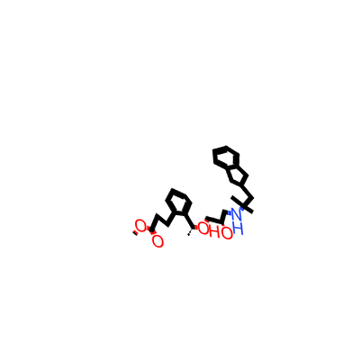 COC(=O)CCc1ccccc1[C@@H](C)OC[C@H](O)CNC(C)(C)CC1Cc2ccccc2C1